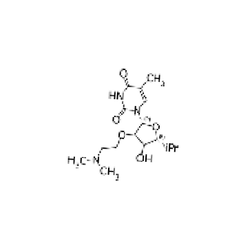 Cc1cn([C@@H]2O[C@H](C(C)C)C(O)C2OCCN(C)C)c(=O)[nH]c1=O